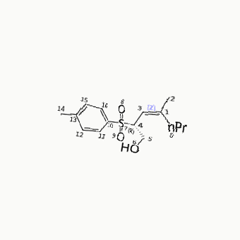 CCC/C(C)=C\[C@H](CO)S(=O)(=O)c1ccc(C)cc1